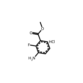 COC(=O)c1cccc(N)c1F.Cl